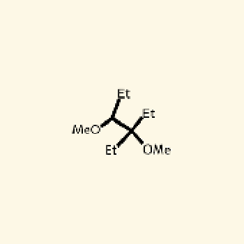 CCC(OC)C(CC)(CC)OC